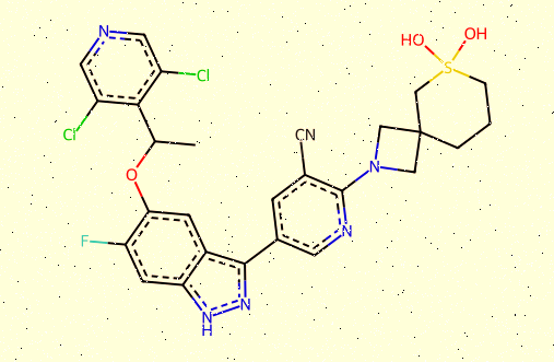 CC(Oc1cc2c(-c3cnc(N4CC5(CCCS(O)(O)C5)C4)c(C#N)c3)n[nH]c2cc1F)c1c(Cl)cncc1Cl